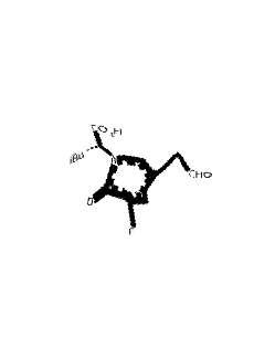 CC[C@@H](C)C(C(=O)O)n1cc(CC=O)cc(F)c1=O